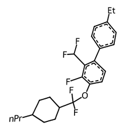 CCCC1CCC(C(F)(F)Oc2ccc(-c3ccc(CC)cc3)c(C(F)F)c2F)CC1